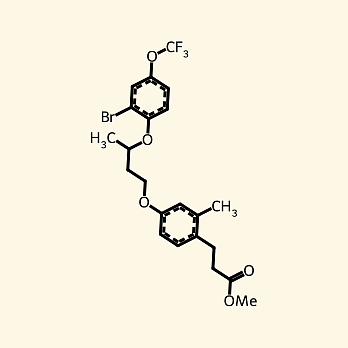 COC(=O)CCc1ccc(OCCC(C)Oc2ccc(OC(F)(F)F)cc2Br)cc1C